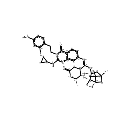 COc1ccc(CCn2c(NC3CC3)nc3cc(N=C(N[C@H]4C[C@@H]5C[C@@H]([C@H]4C)C5(C)C)N4CC(=O)N[C@@H](C)C4)ccc3c2=O)c(F)c1